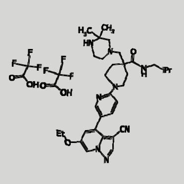 CCOc1cc(-c2ccc(N3CCC(CN4CCNC(C)(C)C4)(C(=O)NCC(C)C)CC3)nc2)c2c(C#N)cnn2c1.O=C(O)C(F)(F)F.O=C(O)C(F)(F)F